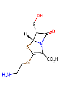 NCCSC1=C(C(=O)O)N2C(=O)[C@@H](CO)[C@H]2S1